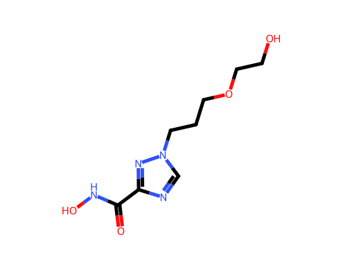 O=C(NO)c1ncn(CCCOCCO)n1